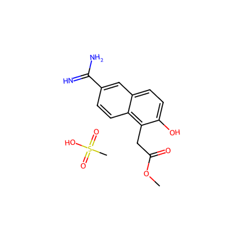 COC(=O)Cc1c(O)ccc2cc(C(=N)N)ccc12.CS(=O)(=O)O